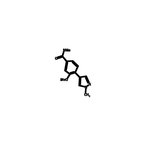 CNC(=O)c1ccc(-c2cnn(C)c2)c(OC)c1